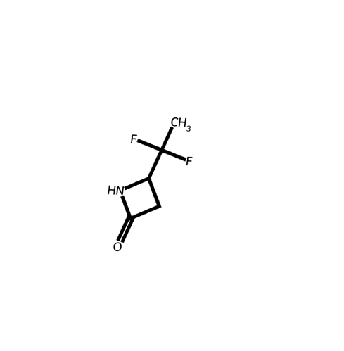 CC(F)(F)C1CC(=O)N1